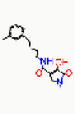 Cc1cccc(CCCCNC(=O)C2=C(O)C(=O)N(C)C2)c1